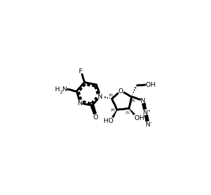 [N-]=[N+]=N[C@]1(CO)O[C@@H](n2cc(F)c(N)nc2=O)[C@H](O)[C@@H]1O